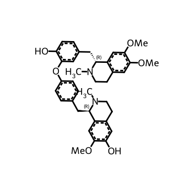 COc1cc2c(cc1O)CCN(C)[C@@H]2Cc1ccc(Oc2cc(C[C@@H]3c4cc(OC)c(OC)cc4CCN3C)ccc2O)cc1